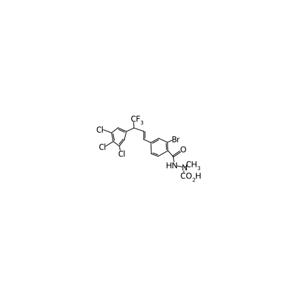 CN(NC(=O)c1ccc(C=CC(c2cc(Cl)c(Cl)c(Cl)c2)C(F)(F)F)cc1Br)C(=O)O